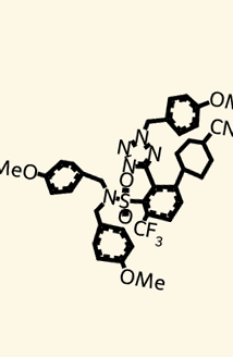 COc1ccc(CN(Cc2ccc(OC)cc2)S(=O)(=O)c2c(C(F)(F)F)ccc(C3CCC(C#N)CC3)c2-c2nnn(Cc3ccc(OC)cc3)n2)cc1